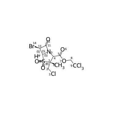 C[C@]1(CCl)C(C(=O)OCC(Cl)(Cl)Cl)N2C(=O)[C@H](Br)[C@@H]2S1(=O)=O